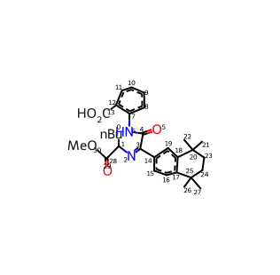 CCCCC(N=C(C(=O)Nc1ccccc1C(=O)O)c1ccc2c(c1)C(C)(C)CCC2(C)C)C(=O)OC